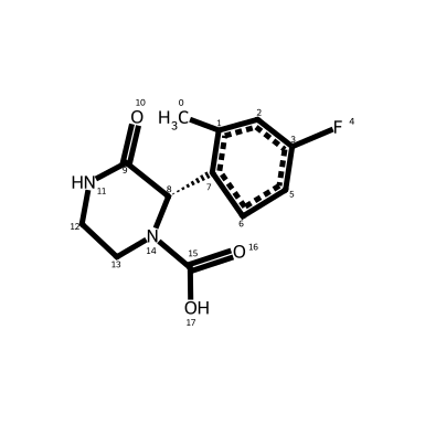 Cc1cc(F)ccc1[C@H]1C(=O)NCCN1C(=O)O